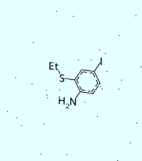 CCSc1cc(I)ccc1N